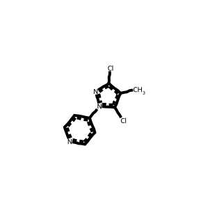 Cc1c(Cl)nn(-c2ccncc2)c1Cl